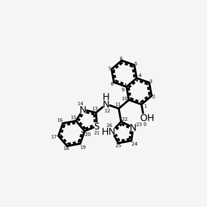 Oc1ccc2ccccc2c1C(Nc1nc2ccccc2s1)c1ncc[nH]1